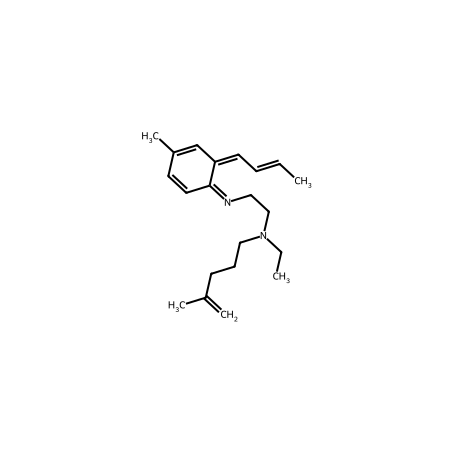 C=C(C)CCCN(CC)CC/N=C1/C=CC(C)=C/C1=C/C=C/C